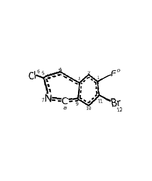 Fc1cc2cc(Cl)ncc2cc1Br